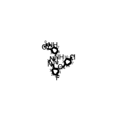 CS(=N)(=O)Cc1cccc(Nc2ncnc(-c3ccc(F)cc3OCc3ccc(Cl)cc3)n2)c1